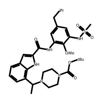 COc1c(NC(=O)c2cc3cccc(C(C)N4CCN(C(=O)OC(C)(C)C)CC4)c3[nH]2)cc(CC(C)C)cc1NS(C)(=O)=O